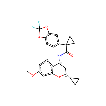 COc1ccc2c(c1)O[C@@H](C1CC1)C[C@H]2NC(=O)C1(c2ccc3c(c2)OC(F)(F)O3)CC1